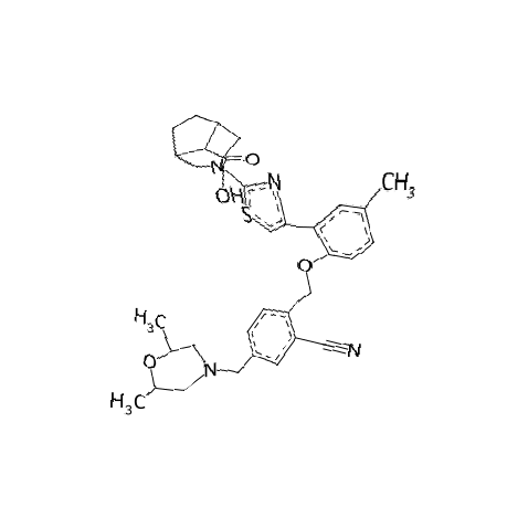 Cc1ccc(OCc2ccc(CN3CC(C)OC(C)C3)cc2C#N)c(-c2csc(N3CC4CCC(C3)C4C(=O)O)n2)c1